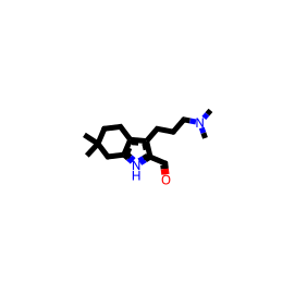 CN(C)CCCc1c(C=O)[nH]c2c1CCC(C)(C)C2